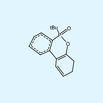 CC(C)(C)P1(=O)OC2=C(C=CCC2)c2ccccc21